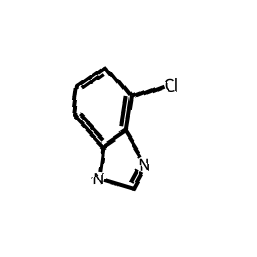 Clc1cccc2c1N=C[N]2